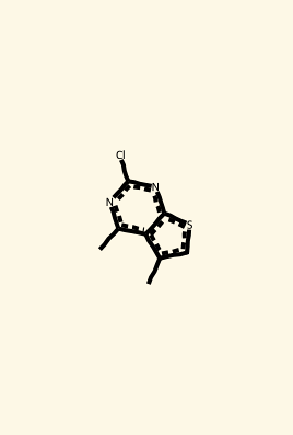 Cc1csc2nc(Cl)nc(C)c12